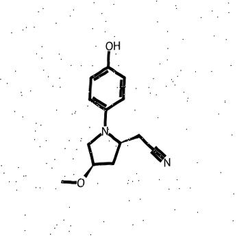 CO[C@@H]1C[C@H](CC#N)N(c2ccc(O)cc2)C1